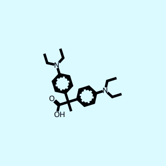 CCN(CC)c1ccc(C(C)(C(=O)O)c2ccc(N(CC)CC)cc2)cc1